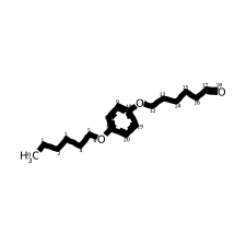 CCCCCCOc1ccc(OCCCCCC=O)cc1